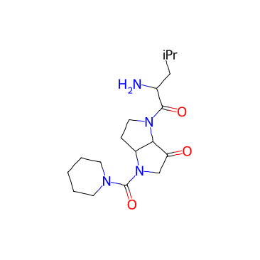 CC(C)CC(N)C(=O)N1CCC2C1C(=O)CN2C(=O)N1CCCCC1